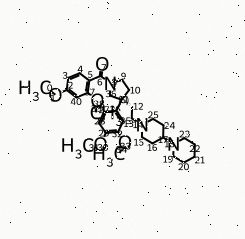 COc1ccc(C(=O)N2CC[C@@](CCN3CCC(N4CCCCC4)CC3)(c3ccc(OC)c(OC)c3)C2)c(OC)c1